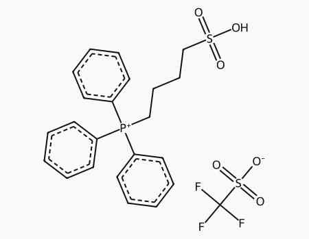 O=S(=O)(O)CCCC[P+](c1ccccc1)(c1ccccc1)c1ccccc1.O=S(=O)([O-])C(F)(F)F